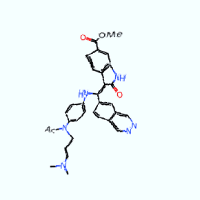 COC(=O)c1ccc2c(c1)NC(=O)C2=C(Nc1ccc(N(CCCN(C)C)C(C)=O)cc1)c1ccc2cnncc2c1